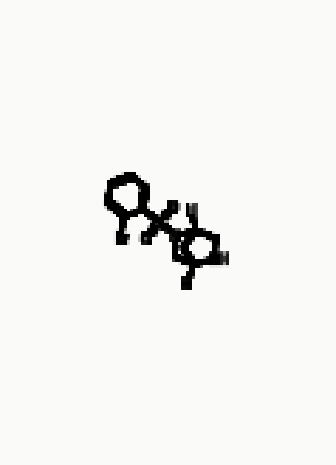 O=S(=O)(c1ccccc1Br)N1C[C@@H]2C[C@H]1CN2